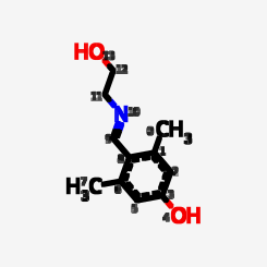 Cc1cc(O)cc(C)c1C=NCCO